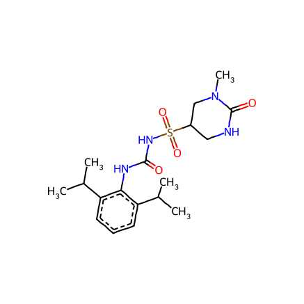 CC(C)c1cccc(C(C)C)c1NC(=O)NS(=O)(=O)C1CNC(=O)N(C)C1